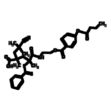 CCCC(=O)Oc1ccc(C(=O)OCCNC(=O)C(C)(CC(C)(CC(C)(C)C#N)C(=O)O)SC(=S)c2ccccc2)cc1